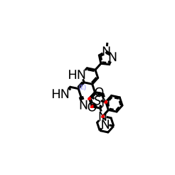 Cn1cc(C2=CN/C(=C(/C#N)C=N)C(c3ccc(N4CC5CC(C4)N5Cc4ccccc4S(C)(=O)=O)nc3)=C2)cn1